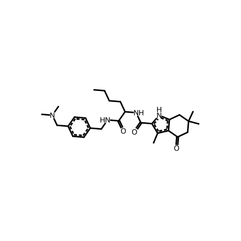 CCCCC(NC(=O)c1[nH]c2c(c1C)C(=O)CC(C)(C)C2)C(=O)NCc1ccc(CN(C)C)cc1